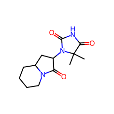 CC1(C)C(=O)NC(=O)N1C1CC2CCCCN2C1=O